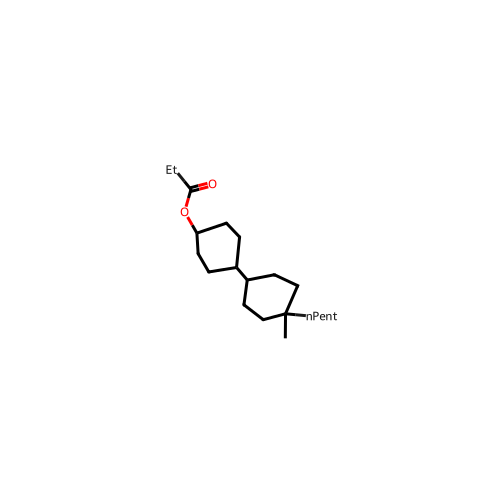 CCCCCC1(C)CCC(C2CCC(OC(=O)CC)CC2)CC1